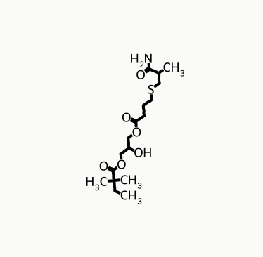 CCC(C)(C)C(=O)OCC(O)COC(=O)CCCSCC(C)C(N)=O